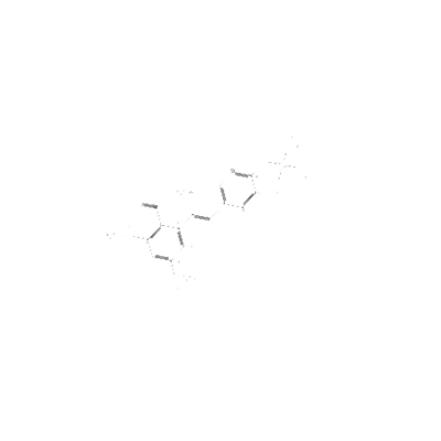 COC(=O)c1c(/C=C/c2ccc(O[Si](C)(C)C(C)(C)C)cc2)cc(OC)cc1OC